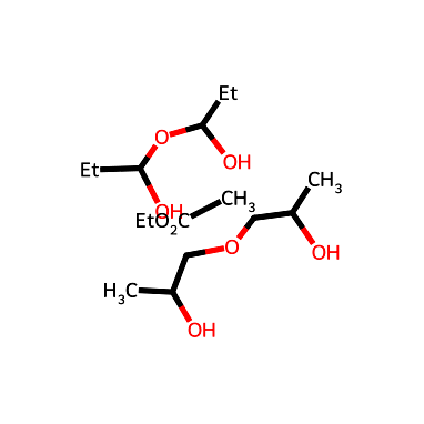 CC(O)COCC(C)O.CCC(O)OC(O)CC.CCOC(C)=O